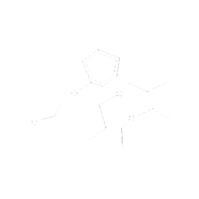 CC[CH2][Al+][CH2]CC.CC[O-].C[CH2][Al+][CH2]C.[O-]c1ccccc1